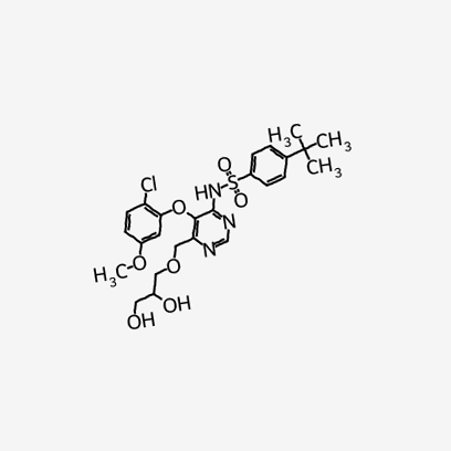 COc1ccc(Cl)c(Oc2c(COCC(O)CO)ncnc2NS(=O)(=O)c2ccc(C(C)(C)C)cc2)c1